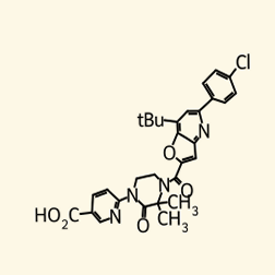 CC(C)(C)c1cc(-c2ccc(Cl)cc2)nc2cc(C(=O)N3CCN(c4ccc(C(=O)O)cn4)C(=O)C3(C)C)oc12